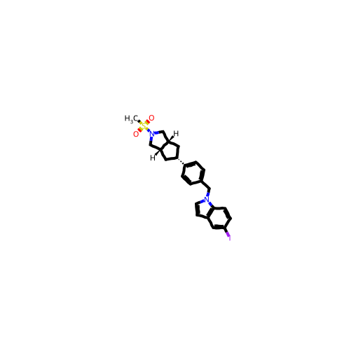 CS(=O)(=O)N1C[C@H]2C[C@@H](c3ccc(Cn4ccc5cc(I)ccc54)cc3)C[C@H]2C1